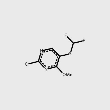 COc1nc(Cl)ncc1SC(F)F